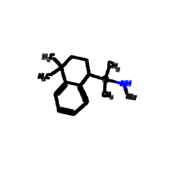 CC(C)(C)N[Si](C)(C)C1CCC(C)(C)c2ccccc21